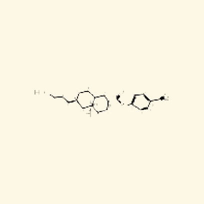 CCCCC1CCC2C[C@H](C(=O)Oc3ccc(C#N)cc3)CC[C@@H]2C1